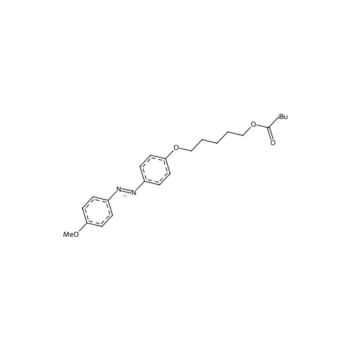 CCC(C)C(=O)OCCCCCOc1ccc(/N=N/c2ccc(OC)cc2)cc1